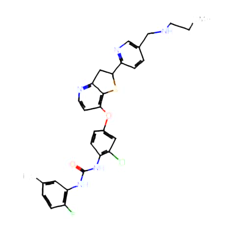 COCCNCc1ccc(C2Cc3nccc(Oc4ccc(NC(=O)Nc5cc(C(F)(F)F)ccc5F)c(Cl)c4)c3S2)nc1